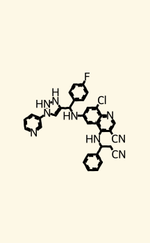 N#CCC(Nc1c(C#N)cnc2c(Cl)cc(NC(C3=CN(c4cccnc4)NN3)c3ccc(F)cc3)cc12)c1ccccc1